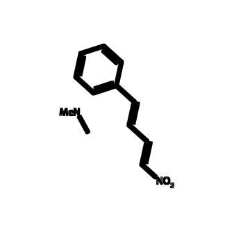 CNC.O=[N+]([O-])C=CC=Cc1ccccc1